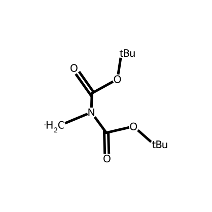 [CH2]N(C(=O)OC(C)(C)C)C(=O)OC(C)(C)C